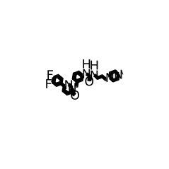 CN1CCN(CCCNC(=O)Nc2cccc(Cn3nc(-c4ccc(F)c(F)c4)ccc3=O)c2)CC1